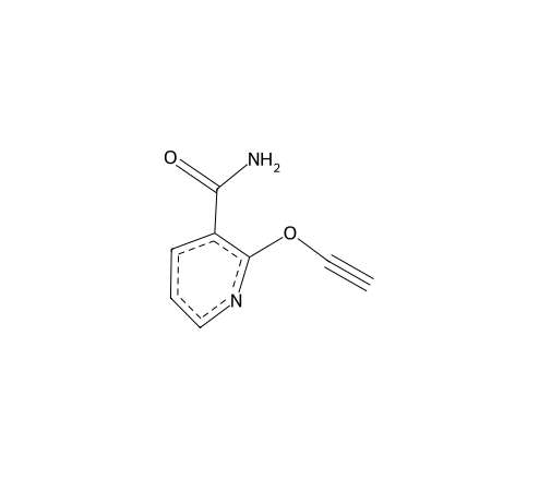 C#COc1ncccc1C(N)=O